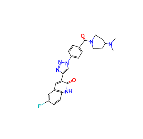 CN(C)C1CCN(C(=O)c2ccc(-n3cc(-c4cc5cc(F)ccc5[nH]c4=O)nn3)cc2)CC1